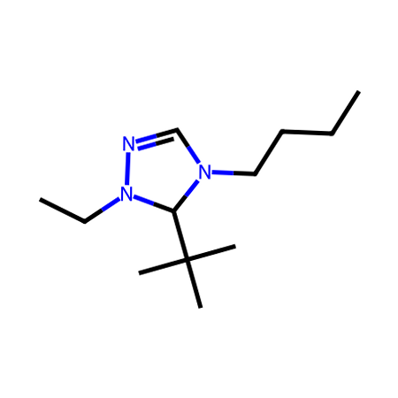 CCCCN1C=NN(CC)C1C(C)(C)C